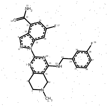 CN1CCc2nc(-n3ncc4c(C(N)=O)cc(F)cc43)nc(NCc3cccc(F)c3)c2C1